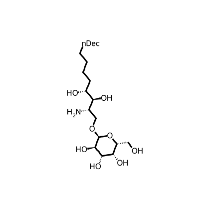 CCCCCCCCCCCCCC[C@@H](O)[C@@H](O)[C@@H](N)CO[C@H]1O[C@H](CO)[C@H](O)[C@H](O)[C@H]1O